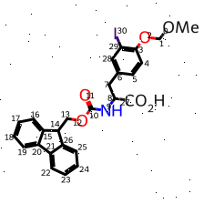 COCOc1ccc(CC(NC(=O)OCC2c3ccccc3-c3ccccc32)C(=O)O)cc1I